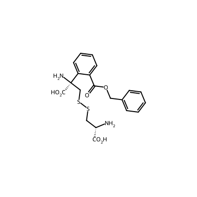 N[C@@H](CSSC[C@](N)(C(=O)O)c1ccccc1C(=O)OCc1ccccc1)C(=O)O